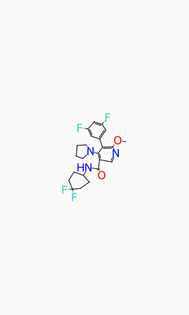 COc1ncc(C(=O)NC2CCC(F)(F)CC2)c(N2CCCC2)c1-c1cc(F)cc(F)c1